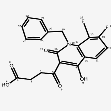 O=C(O)CCC(=O)c1c(O)c2ccc(F)c(F)c2n(Cc2ccccc2)c1=O